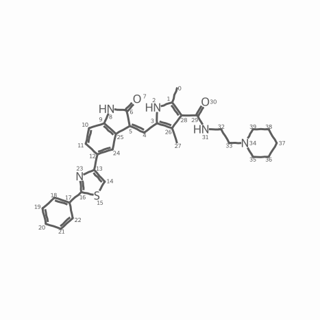 Cc1[nH]c(C=C2C(=O)Nc3ccc(-c4csc(-c5ccccc5)n4)cc32)c(C)c1C(=O)NCCN1CCCCC1